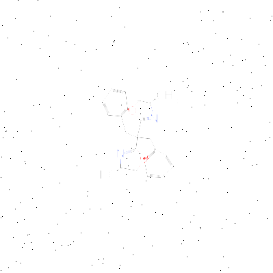 C[C@@H]1COC(C(Cc2ccccc2)(Cc2ccccc2)C2=N[C@H](C)CO2)=N1